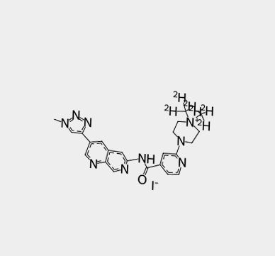 [2H]C([2H])([2H])[N+]1(C([2H])([2H])[2H])CCN(c2cc(C(=O)Nc3cc4cc(-c5cn(C)nn5)cnc4cn3)ccn2)CC1.[I-]